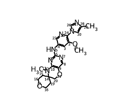 COc1cc(Nc2ncc3c(n2)N(C)C2(CCOCC2)CO3)cnc1-n1cnc(C)c1